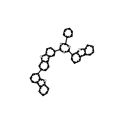 c1ccc(-c2nc(-c3ccc4oc5cc(-c6cccc7c6oc6ccccc67)ccc5c4c3)nc(-c3cccc4c3oc3ccccc34)n2)cc1